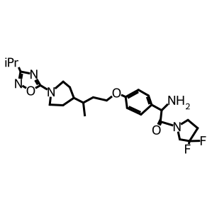 CC(C)c1noc(N2CCC(C(C)CCOc3ccc(C(N)C(=O)N4CCC(F)(F)C4)cc3)CC2)n1